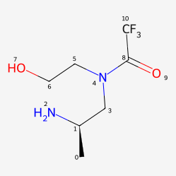 C[C@@H](N)CN(CCO)C(=O)C(F)(F)F